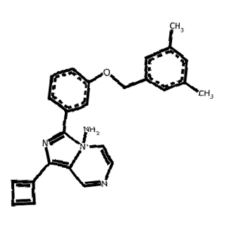 Cc1cc(C)cc(COc2cccc(C3=NC(C4=CC=C4)=C4C=NC=C[N+]34N)c2)c1